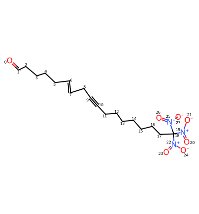 O=[C]CCCCC=CCC#CCCCCCCCC([N+](=O)[O-])([N+](=O)[O-])[N+](=O)[O-]